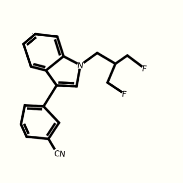 N#Cc1cccc(-c2cn(CC(CF)CF)c3c[c]ccc23)c1